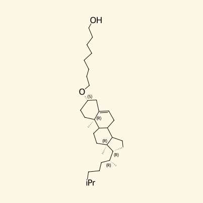 CC(C)CCC[C@@H](C)[C@H]1CCC2C3CC=C4C[C@@H](OCCCCCCCCO)CC[C@]4(C)C3CC[C@@]21C